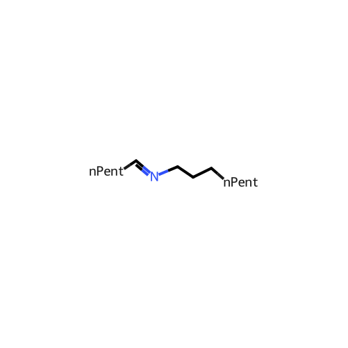 CCCCCC=NCCCCCCCC